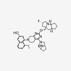 CCc1cccc2cc(O)cc(N3CCc4c(nc(OC[C@@]56C[C@H](F)CN5[C@@H]5CCC[C@@H]5C6)nc4N4CC5CCC(C4)N5)C3)c12